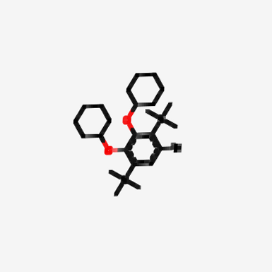 [2H]c1cc([Si](C)(C)C)c(OC2CCCCC2)c(OC2CCCCC2)c1[Si](C)(C)C